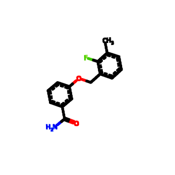 Cc1cccc(COc2cccc(C(N)=O)c2)c1F